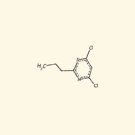 CCCc1nc(Cl)cc(Cl)n1